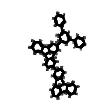 c1ccc(-c2cc(-c3ccccc3)nc(-c3cc4c5ccccc5n5c6ccc(-c7ccc8c(c7)c7cccc9c%10ccccc%10n8c97)cc6c(c3)c45)c2)cc1